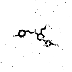 CCCC1CN(c2nc(N)n[nH]2)CCC1NCCc1ccc(Cl)cc1